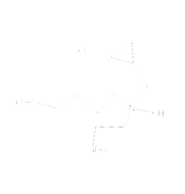 CCCCCCCCCCCCCC[N+](C)(CCCCCCCCCCCC)CC1CO1.[Cl-]